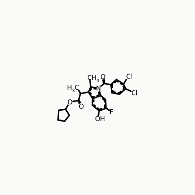 Cc1c(C(C)C(=O)OC2CCCC2)c2cc(O)c(F)cc2n1C(=O)c1ccc(Cl)c(Cl)c1